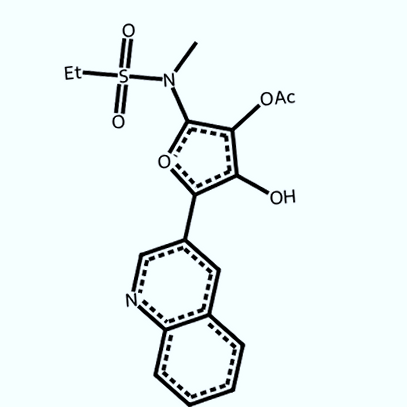 CCS(=O)(=O)N(C)c1oc(-c2cnc3ccccc3c2)c(O)c1OC(C)=O